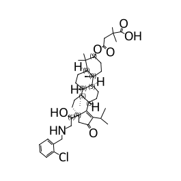 CC(C)C1=C2[C@H]3CC[C@H]4[C@@H](CC[C@H]5C(C)(C)[C@@H](OC(=O)CC(C)(C)C(=O)O)CC[C@]45C)[C@]3(C)CC[C@@]2([C@H](O)CNCc2ccccc2Cl)CC1=O